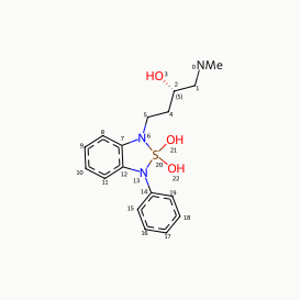 CNC[C@@H](O)CCN1c2ccccc2N(c2ccccc2)S1(O)O